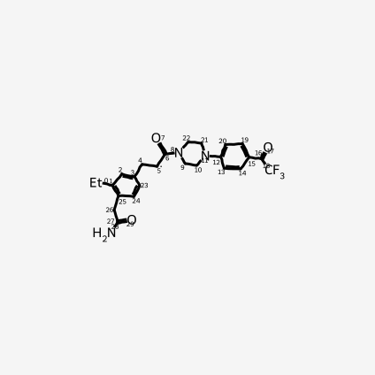 CCc1cc(C[CH]C(=O)N2CCN(c3ccc(C(=O)C(F)(F)F)cc3)CC2)ccc1CC(N)=O